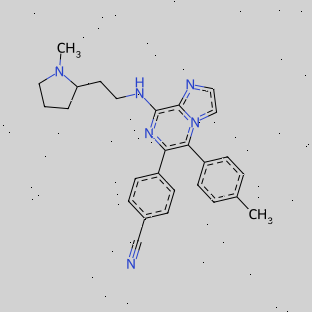 Cc1ccc(-c2c(-c3ccc(C#N)cc3)nc(NCCC3CCCN3C)c3nccn23)cc1